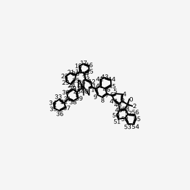 CC1(C)c2ccc(-c3ccc(-c4cc(-c5ccccc5-c5ccccc5)nc(-c5ccc(-c6ccccc6)cc5)n4)c4ccccc34)cc2-c2ccc3ccccc3c21